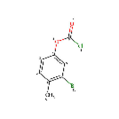 Cc1ccc(OC(=O)Cl)cc1Br